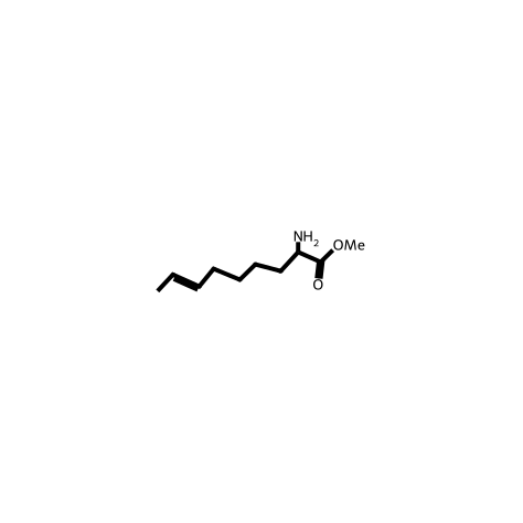 CC=CCCCCC(N)C(=O)OC